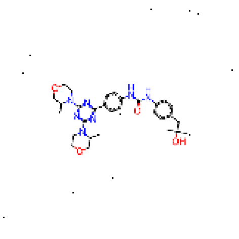 CC1COCCN1c1nc(-c2ccc(NC(=O)Nc3ccc(CC(C)(C)O)cc3)cc2)nc(N2CCOCC2C)n1